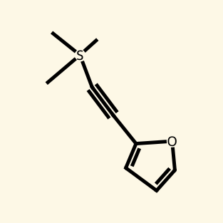 CS(C)(C)C#Cc1ccco1